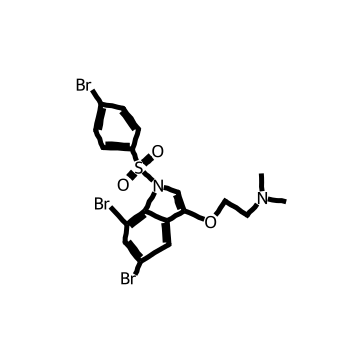 CN(C)CCOc1cn(S(=O)(=O)c2ccc(Br)cc2)c2c(Br)cc(Br)cc12